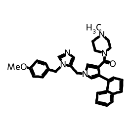 COc1ccc(Cn2cncc2Cn2cc(C(=O)N3CCN(C)CC3)c(-c3cccc4ccccc34)c2)cc1